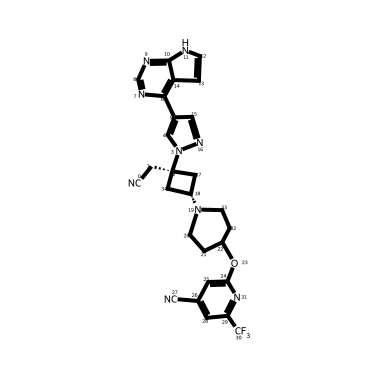 N#CC[C@]1(n2cc(-c3ncnc4[nH]ccc34)cn2)C[C@H](N2CCC(Oc3cc(C#N)cc(C(F)(F)F)n3)CC2)C1